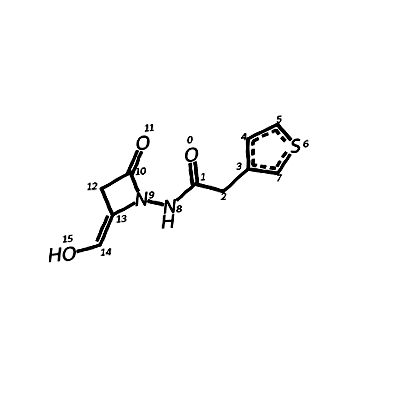 O=C(Cc1ccsc1)NN1C(=O)CC1=CO